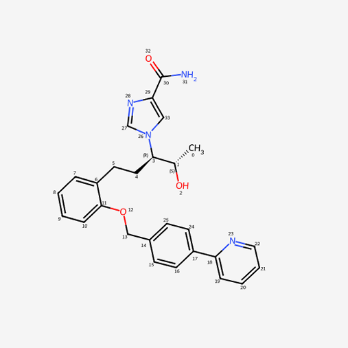 C[C@H](O)[C@@H](CCc1ccccc1OCc1ccc(-c2ccccn2)cc1)n1cnc(C(N)=O)c1